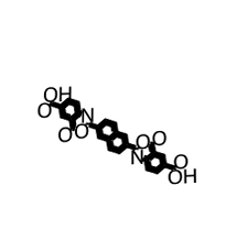 O=C(O)c1ccc2nc(-c3ccc4cc(-c5nc6ccc(C(=O)O)cc6c(=O)o5)ccc4c3)oc(=O)c2c1